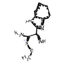 CO/N=C(/N)C(=N)c1nc2ccccc2[nH]1